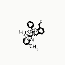 Cc1cccn2c(C)c(N(Cc3cccc(CF)c3)S(=O)(=O)c3ccccc3)nc12